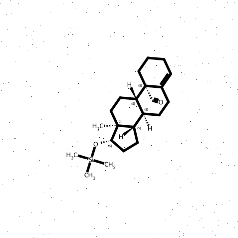 C[C@]12CC[C@H]3[C@@H](CCC4=CCCC[C@@]43C=O)[C@@H]1CC[C@@H]2O[Si](C)(C)C